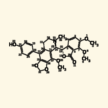 COc1ccc2c(c1OC)C(=O)O[C@@H]2[C@H]1c2c(c(-c3ccc(O)cc3)c3c(c2OC)OCO3)CCN1C